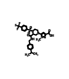 CC(C)c1ccc(CNC(=O)C2CN(c3cc(C(=O)O)nn3C)CCN2S(=O)(=O)c2ccc(C(F)(F)F)cc2)cc1